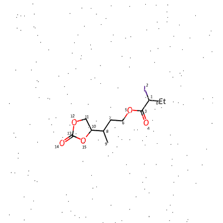 CCC(I)C(=O)OCCC(C)C1COC(=O)O1